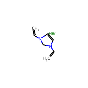 Br.C=CN1C=CN(C=C)C1